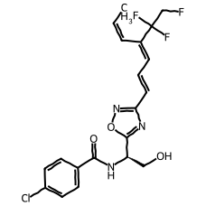 C\C=C/C(=C\C=C\c1noc([C@@H](CO)NC(=O)c2ccc(Cl)cc2)n1)C(F)(F)CF